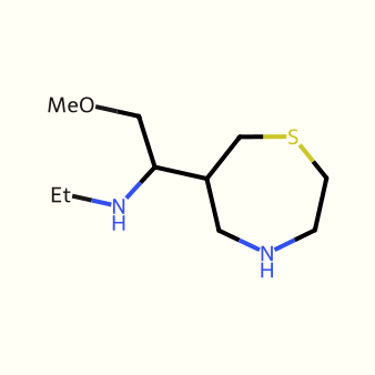 CCNC(COC)C1CNCCSC1